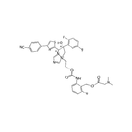 C[C@@H](c1nc(-c2ccc(C#N)cc2)cs1)[C@](O)(C[N+]1(CCOC(=O)Nc2cccc(F)c2COC(=O)CN(C)C)C=NC=N1)c1cc(F)ccc1F